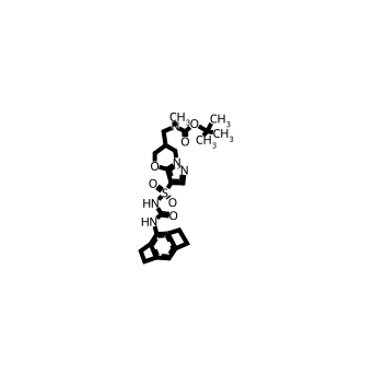 CN(CC1COc2c(S(=O)(=O)NC(=O)Nc3c4c(cc5c3CC5)CC4)cnn2C1)C(=O)OC(C)(C)C